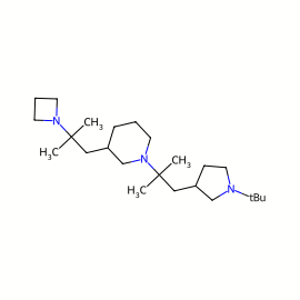 CC(C)(C)N1CCC(CC(C)(C)N2CCCC(CC(C)(C)N3CCC3)C2)C1